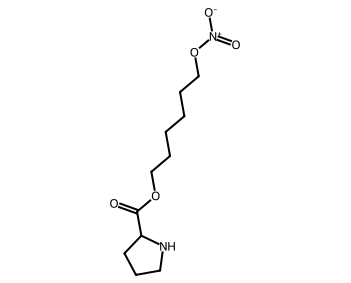 O=C(OCCCCCCO[N+](=O)[O-])C1CCCN1